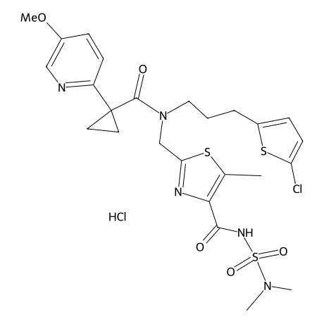 COc1ccc(C2(C(=O)N(CCCc3ccc(Cl)s3)Cc3nc(C(=O)NS(=O)(=O)N(C)C)c(C)s3)CC2)nc1.Cl